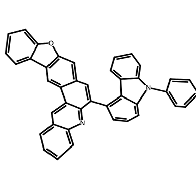 c1ccc(-n2c3ccccc3c3c(-c4cc5cc6oc7ccccc7c6cc5c5cc6ccccc6nc45)cccc32)cc1